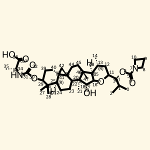 CC(C)[C@@H](OC(=O)N1CCC1)C1C[C@@H](C)[C@H]2C(O1)[C@H](O)[C@@]1(C)C3CC[C@H]4C(C)(C)C(OC(=O)N[C@H](C)C(=O)O)CC[C@@]45C[C@@]35CC[C@]21C